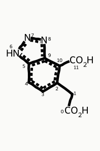 O=C(O)Cc1ccc2[nH]nnc2c1C(=O)O